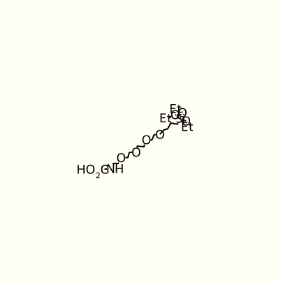 CCO[Si](CCCCOCCOCCOCCOCCNC(=O)O)(OCC)OCC